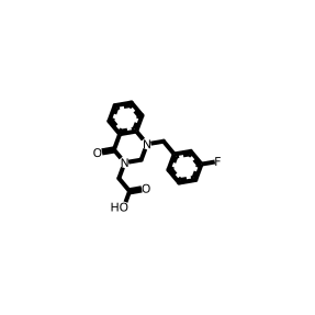 O=C(O)CN1CN(Cc2cccc(F)c2)c2ccccc2C1=O